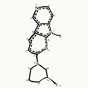 Cn1c2ccncc2c2ccc(N3CCC[C@H](F)C3)nc21